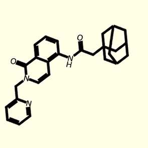 O=C(CC12CC3CC(CC(C3)C1)C2)Nc1cccc2c(=O)n(Cc3ccccn3)ccc12